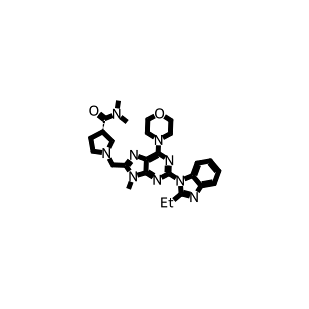 CCc1nc2ccccc2n1-c1nc(N2CCOCC2)c2nc(CN3CC[C@H](C(=O)N(C)C)C3)n(C)c2n1